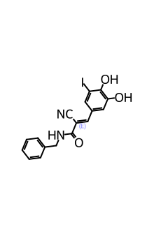 N#C/C(=C\c1cc(O)c(O)c(I)c1)C(=O)NCc1ccccc1